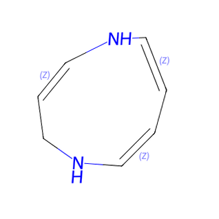 C1=C\N/C=C\CN\C=C/1